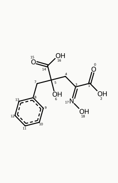 O=C(O)C(CC(O)(Cc1ccccc1)C(=O)O)=NO